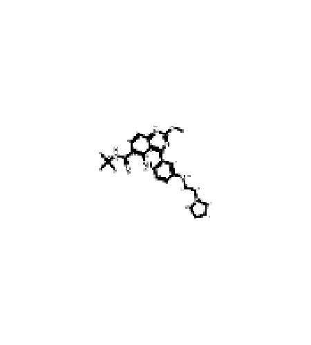 CSc1nc(-c2cccc(OCCN3CCCC3)c2)c2c(N)c(C(=O)NC(C)(C)C)ccc2n1